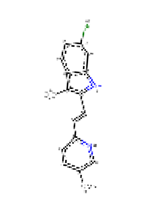 COc1ccc(C=Cc2[nH]c3cc(Br)ccc3c2C(=O)O)nc1